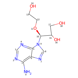 Nc1ncnc2c1ncn2[C@@H](OCCO)C(O)CO